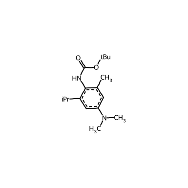 Cc1cc(N(C)C)cc(C(C)C)c1NC(=O)OC(C)(C)C